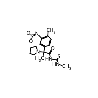 CNC(=S)NC(=O)C(C)(c1ccc(C)c(N=S(=O)=O)c1)N1CCCC1